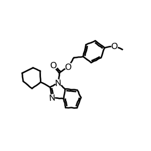 COc1ccc(COC(=O)n2c(C3CCCCC3)nc3ccccc32)cc1